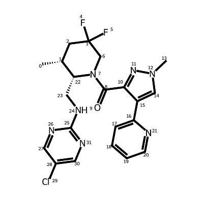 C[C@@H]1CC(F)(F)CN(C(=O)c2nn(C)cc2-c2ccccn2)[C@@H]1CNc1ncc(Cl)cn1